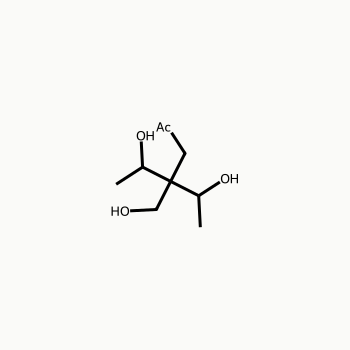 CC(=O)CC(CO)(C(C)O)C(C)O